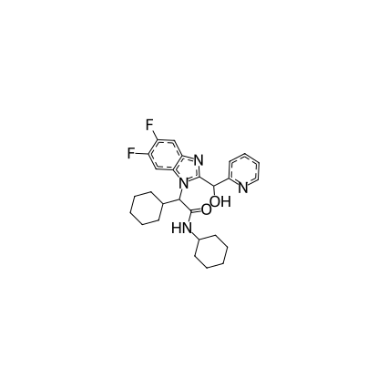 O=C(NC1CCCCC1)C(C1CCCCC1)n1c(C(O)c2ccccn2)nc2cc(F)c(F)cc21